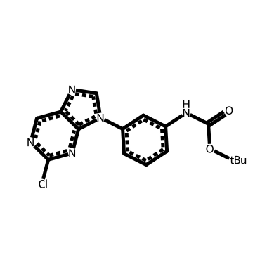 CC(C)(C)OC(=O)Nc1cccc(-n2cnc3cnc(Cl)nc32)c1